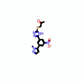 CC(=O)CSc1nnc(-c2cc(-c3ccnn3C)cc([N+](=O)[O-])c2)[nH]1